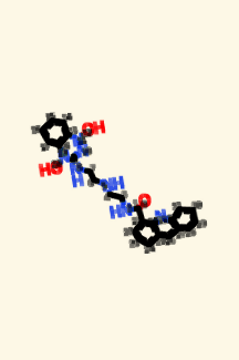 O=C(NCCNCCNC1=NN(O)c2ccccc2N1O)c1cccc2cc3ccccc3nc12